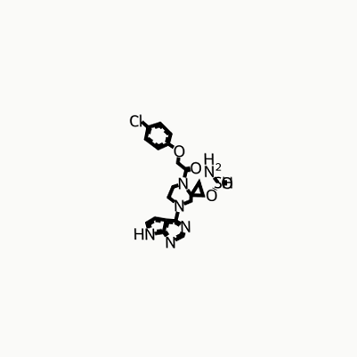 N[SH](=O)=O.O=C(COc1ccc(Cl)cc1)N1CCN(c2ncnc3[nH]ccc23)CC12CC2